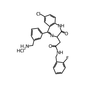 Cl.NCc1cccc(C2=NC(CC(=O)NCc3ccccc3F)C(=O)Nc3ccc(Cl)cc32)c1